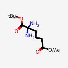 COC(=O)CCCC(N)(N)C(=O)OC(C)(C)C